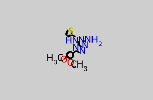 COc1ccc(-c2cnc3nc(N)nc(NCc4cccs4)c3n2)cc1OC